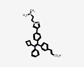 CN(C)CCn1cc(-c2ccc(/C(=C(/c3ccccc3)C3CCC3)c3ccc(C=CC(=O)O)cc3)cc2)cn1